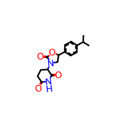 CC(C)c1ccc(C2CN(C3CCC(=O)NC3=O)C(=O)O2)cc1